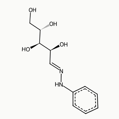 OC[C@H](O)[C@H](O)[C@@H](O)/C=N/Nc1ccccc1